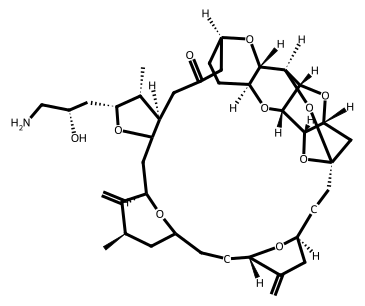 C=C1C[C@@H]2CC[C@@]34C[C@H]5O[C@H]6[C@@H](O3)[C@H]3O[C@H](CC[C@@H]3O[C@H]6[C@H]5O4)CC(=O)C[C@H]3C(C[C@H]4OC(CC[C@@H]1O2)C[C@@H](C)C4=C)O[C@H](C[C@H](O)CN)[C@@H]3C